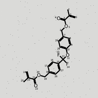 C=C(C)C(=O)OCc1ccc(OC(F)(F)c2ccc(COC(=O)C(=C)C)cc2)cc1